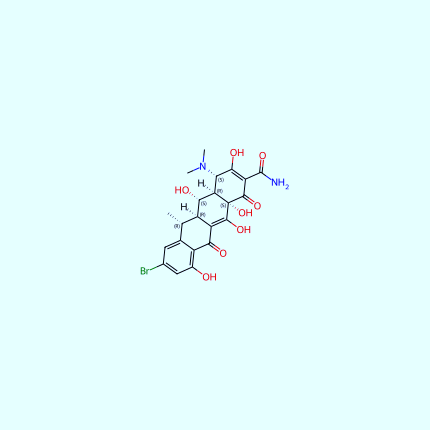 C[C@H]1c2cc(Br)cc(O)c2C(=O)C2=C(O)[C@]3(O)C(=O)C(C(N)=O)=C(O)[C@@H](N(C)C)[C@@H]3[C@@H](O)[C@@H]21